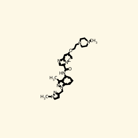 Cc1nn(Cc2ccn(C)n2)c2cccc(NC(=O)c3cnc4cc(OCCN5CCN(C)CC5)ccn34)c12